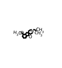 COc1cccc2c1CC1(CCN(C[C](C)C)CC1)C2=O